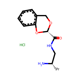 CC(C)[C@H](N)CNC(=O)[C@H]1OCc2ccccc2O1.Cl